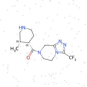 C[C@@H]1CNCC[C@@H]1C(=O)N1CCn2c(nnc2C(F)(F)F)C1